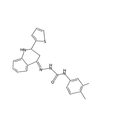 Cc1ccc(NC(=O)NN=C2CC(c3cccs3)Nc3ccccc32)cc1C